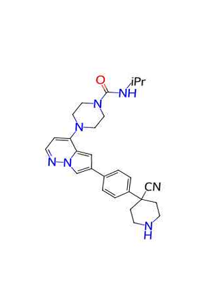 CC(C)NC(=O)N1CCN(c2ccnn3cc(-c4ccc(C5(C#N)CCNCC5)cc4)cc23)CC1